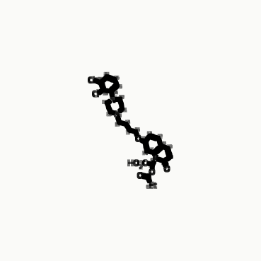 CCC(=O)OC(C(=O)O)n1c(=O)ccc2ccc(OCCCCN3CCN(c4cccc(Cl)c4Cl)CC3)cc21